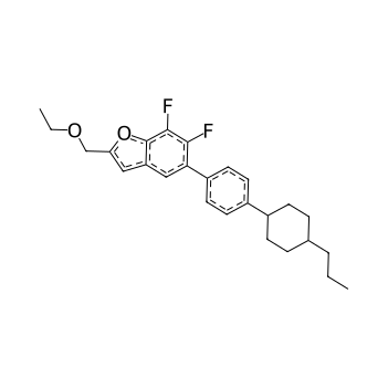 CCCC1CCC(c2ccc(-c3cc4cc(COCC)oc4c(F)c3F)cc2)CC1